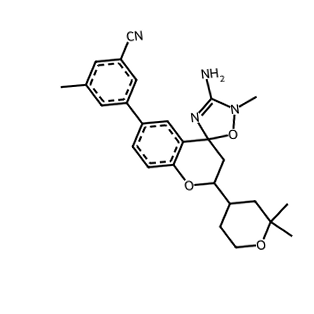 Cc1cc(C#N)cc(-c2ccc3c(c2)C2(CC(C4CCOC(C)(C)C4)O3)N=C(N)N(C)O2)c1